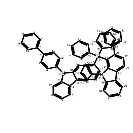 c1ccc(-c2ccc(-n3c4ccccc4c4cc(-n5c6ccccc6c6ccc(-c7ccccc7)c([Si](c7ccccc7)(c7ccccc7)c7ccccc7)c65)ccc43)cc2)cc1